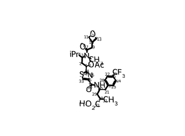 CC(=O)O[C@H](CC(C(C)C)N(C)C(=O)CC1COC1)c1nc(C(=O)N[C@@H](Cc2ccc(C(F)(F)F)cc2)C[C@H](C)C(=O)O)cs1